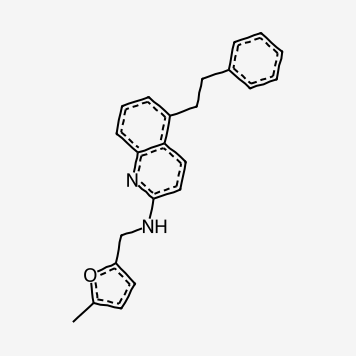 Cc1ccc(CNc2ccc3c(CCc4ccccc4)cccc3n2)o1